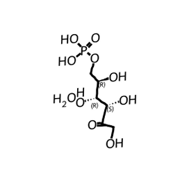 O.O=C(CO)[C@@H](O)[C@H](O)[C@H](O)COP(=O)(O)O